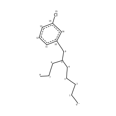 [CH2]CCCC[C](CCC)Cc1cccc(Cl)c1